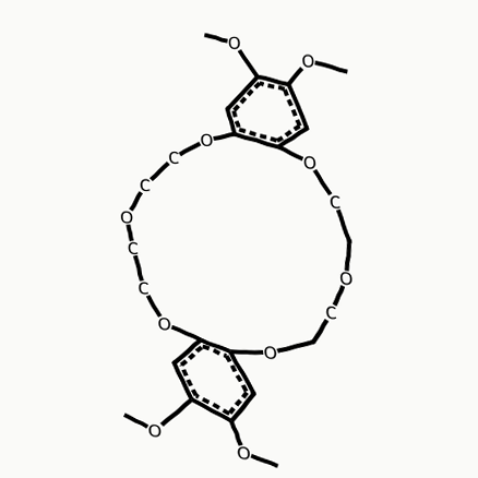 COc1cc2c(cc1OC)OCCOCCOc1cc(OC)c(OC)cc1OCCOCCO2